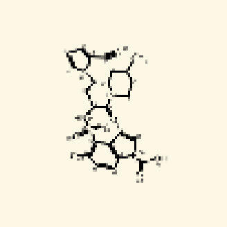 CC1CCN(C(=O)C(CCn2cccc2C#N)NS(=O)(=O)c2c(Cl)ccc3c2ccn3C(=O)O)CC1